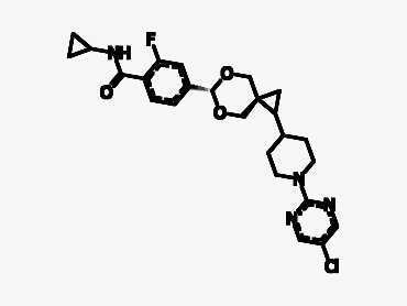 O=C(NC1CC1)c1ccc([C@H]2OC[C@@]3(CO2)CC3C2CCN(c3ncc(Cl)cn3)CC2)cc1F